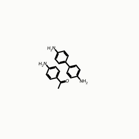 CC(=O)c1ccc(N)cc1.Nc1ccc(-c2ccc(N)cc2)cc1